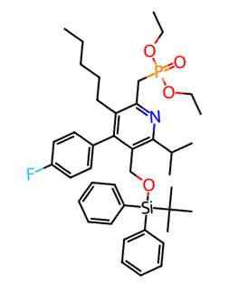 CCCCCc1c(CP(=O)(OCC)OCC)nc(C(C)C)c(CO[Si](c2ccccc2)(c2ccccc2)C(C)(C)C)c1-c1ccc(F)cc1